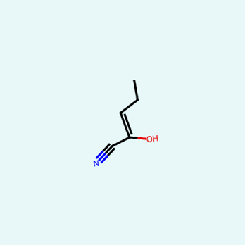 CCC=C(O)C#N